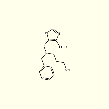 CCOC(=O)c1nc[nH]c1CN(CCCO)Cc1ccccc1